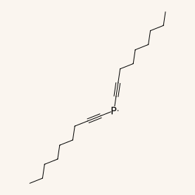 CCCCCCCC#C[P]C#CCCCCCCC